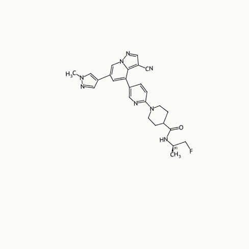 C[C@H](CF)NC(=O)C1CCN(c2ccc(-c3cc(-c4cnn(C)c4)cn4ncc(C#N)c34)cn2)CC1